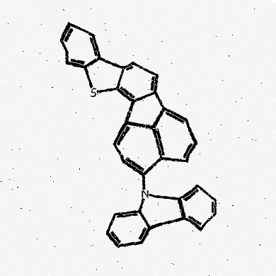 c1ccc2c(c1)sc1c3c(ccc12)-c1cccc2c(-n4c5ccccc5c5ccccc54)ccc-3c12